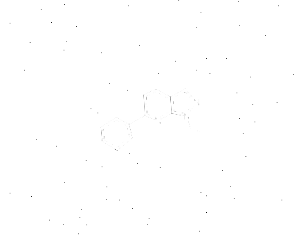 CC(C)n1ncc2[c]cc(-c3ccccc3)nc21